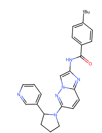 CC(C)(C)c1ccc(C(=O)Nc2cn3nc(N4CCCC4c4cccnc4)ccc3n2)cc1